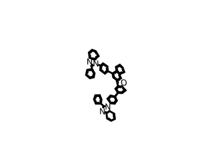 C1=CC2=NC(c3ccccc3)N(c3ccc(-c4ccc5oc6c7ccccc7c(-c7ccc(-n8c(-c9ccccc9)nc9ccccc98)cc7)cc6c5c4)cc3)C2C=C1